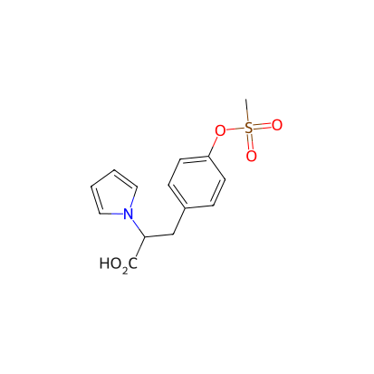 CS(=O)(=O)Oc1ccc(CC(C(=O)O)n2cccc2)cc1